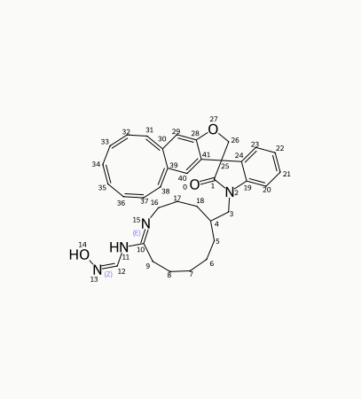 O=C1N(CC2CCCCC/C(N/C=N\O)=N\CCC2)c2ccccc2C12COc1cc3ccccccccc3cc12